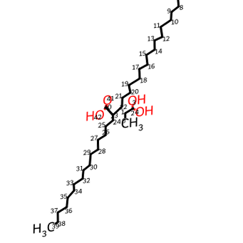 CCC(O)O.CCCCCCCCCCCCCCCCCCC(CCCCCCCCCCCCCCCC)C(=O)O